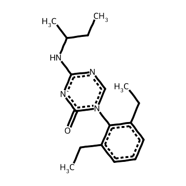 CCc1cccc(CC)c1-n1cnc(NC(C)CC)nc1=O